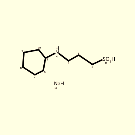 O=S(=O)(O)CCCNC1CCCCC1.[NaH]